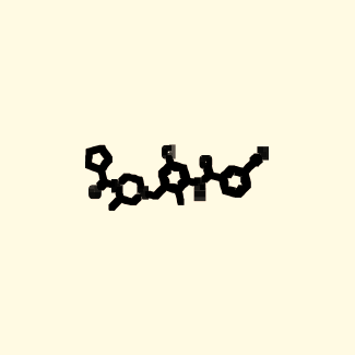 Cc1c(CN2CCN(C(=O)C3CCCC3)C(C)C2)cc(Cl)cc1NC(=O)c1cccc(C#N)c1